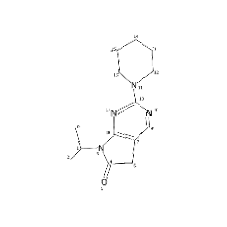 CC(C)N1C(=O)Cc2cnc(N3CCCCC3)nc21